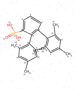 Cc1cc(C)c(-c2cccc(P(=O)(O)O)c2-c2c(C)cc(C)cc2C)c(C)c1